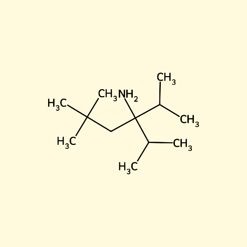 CC(C)C(N)(CC(C)(C)C)C(C)C